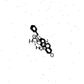 C[C@]12C=CC(=O)C=C1CC[C@@H]1C2=C(O)C[C@@]2(C)[C@@H]1CC[C@]2(Cl)[S@+]([O-])Cc1ccccc1